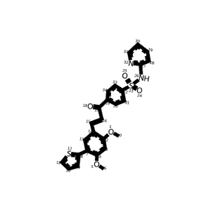 COc1cc(OC)c(-c2cccs2)cc1C=CC(=O)c1ccc(S(=O)(=O)Nc2ccccn2)cc1